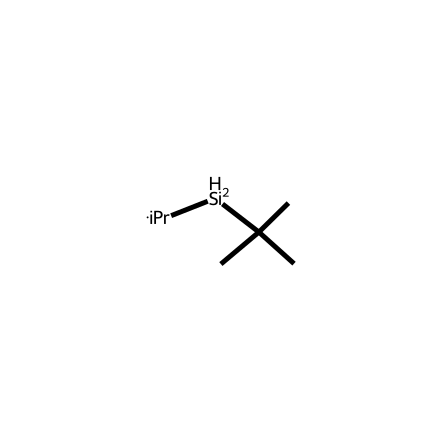 C[C](C)[SiH2]C(C)(C)C